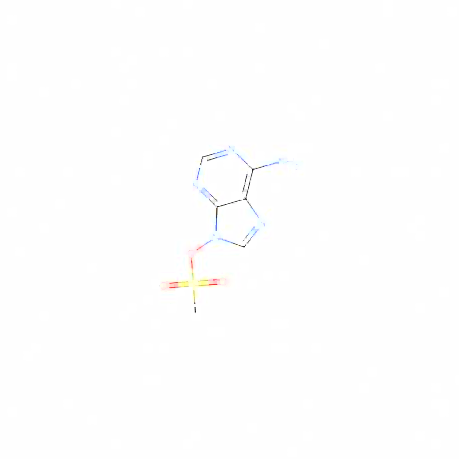 CS(=O)(=O)On1cnc2c(N)ncnc21